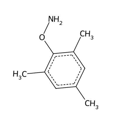 Cc1cc(C)c(ON)c(C)c1